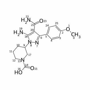 COc1ccc(-c2nn(C3CCCN(C(=O)O)C3)c(N)c2C(N)=O)cc1